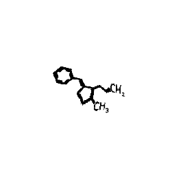 C=CCC1=C(C)[CH]C/C1=C\c1ccccc1